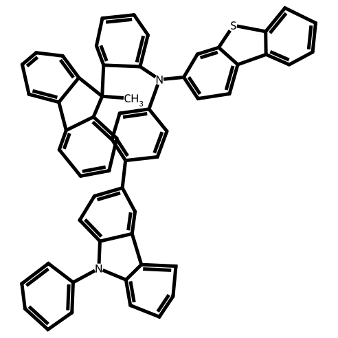 CC1(c2ccccc2N(c2ccc(-c3ccc4c(c3)c3ccccc3n4-c3ccccc3)cc2)c2ccc3c(c2)sc2ccccc23)c2ccccc2-c2ccccc21